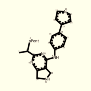 CCCCCC(C)c1nc2c(c(Nc3ccc(-c4ccncc4)cc3)n1)CNC2